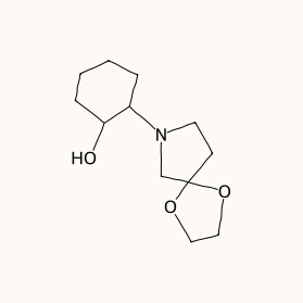 OC1CCCCC1N1CCC2(C1)OCCO2